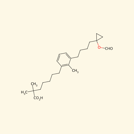 Cc1c(CCCCCC(C)(C)C(=O)O)cccc1CCCCC1(OC=O)CC1